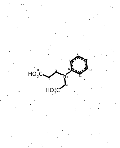 O=C(O)CCN(CC(=O)O)c1ccccc1